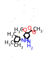 COC(=O)c1cc(N)c(N[C@H]2C[C@@H](C)CC(C)(C)C2)cc1OC